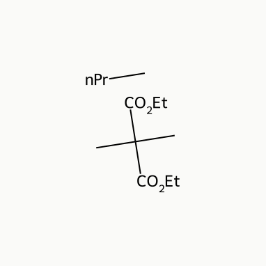 CCCC.CCOC(=O)C(C)(C)C(=O)OCC